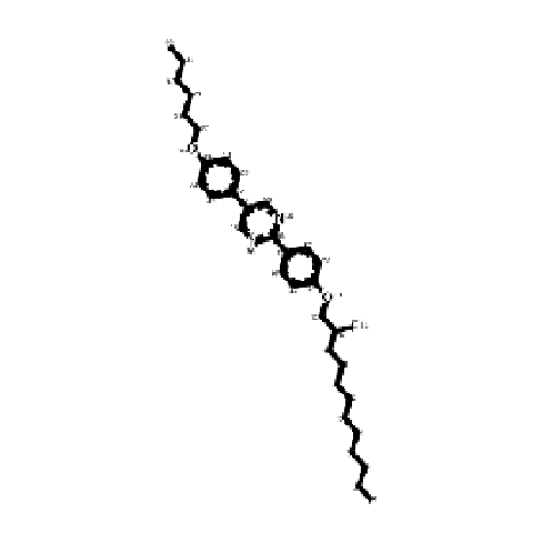 CCCCCCCCCCC(F)COc1ccc(-c2ncc(-c3ccc(OCCCCCC)cc3)cn2)cc1